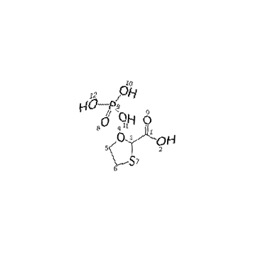 O=C(O)C1OCCS1.O=P(O)(O)O